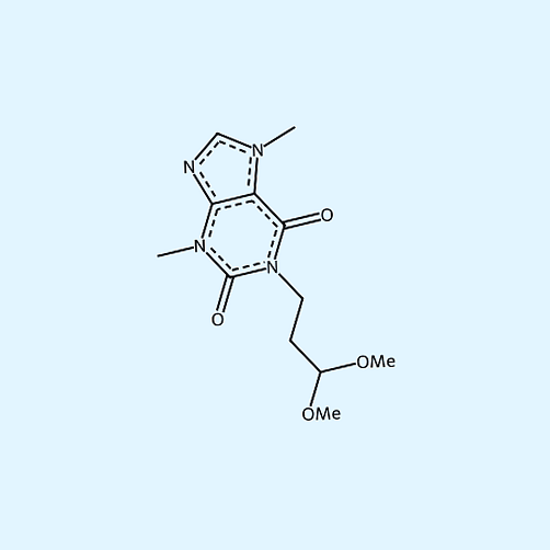 COC(CCn1c(=O)c2c(ncn2C)n(C)c1=O)OC